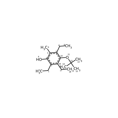 CCc1c(O)c(C)c(CC)c(OC(C)(C)C)c1CC